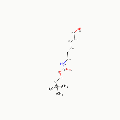 C[Si](C)(C)CCOC(=O)NCCCCCCO